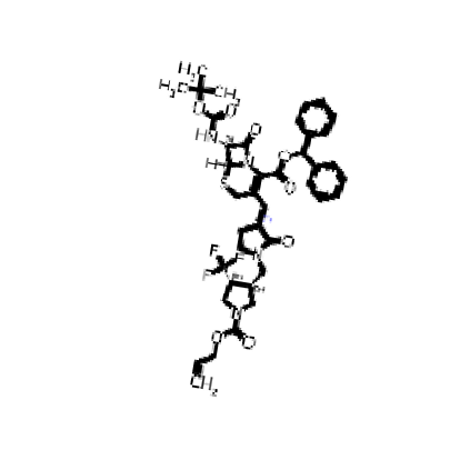 C=CCOC(=O)N1C[C@H](CN2CC/C(=C\C3=C(C(=O)OC(c4ccccc4)c4ccccc4)N4C(=O)[C@@H](NC(=O)OC(C)(C)C)[C@H]4SC3)C2=O)[C@@H](C(F)(F)F)C1